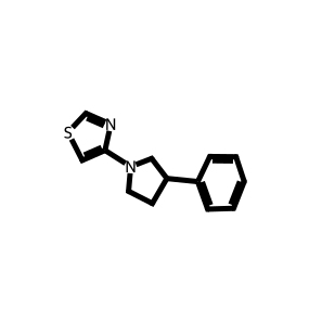 c1ccc(C2CCN(c3cscn3)C2)cc1